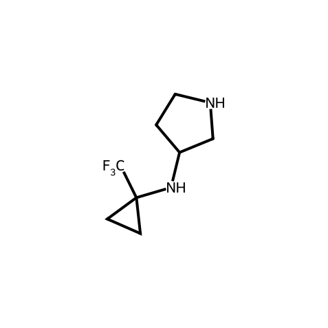 FC(F)(F)C1(NC2CCNC2)CC1